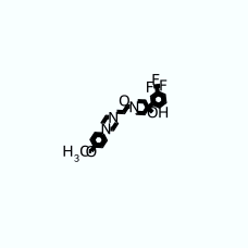 COc1ccc(N2CCN(CCC(=O)N3CCC(O)(c4cccc(C(F)(F)F)c4)CC3)CC2)cc1